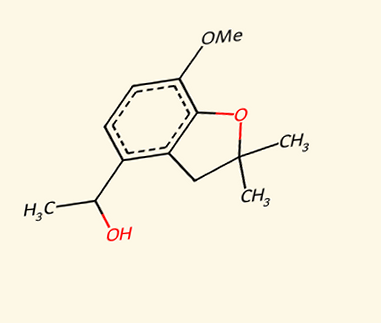 COc1ccc(C(C)O)c2c1OC(C)(C)C2